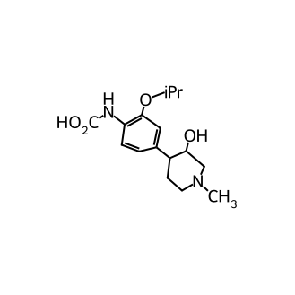 CC(C)Oc1cc(C2CCN(C)CC2O)ccc1NC(=O)O